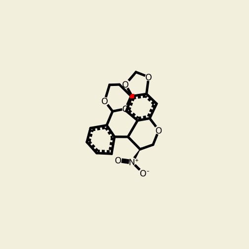 O=[N+]([O-])[C@@H]1COc2cc3c(cc2C1c1ccccc1C1OCCCO1)OCO3